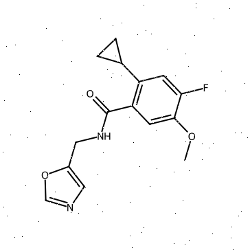 COc1cc(C(=O)NCc2cnco2)c(C2CC2)cc1F